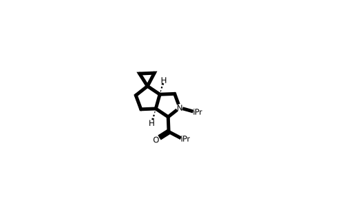 CC(C)C(=O)C1[C@H]2CCC3(CC3)[C@H]2CN1C(C)C